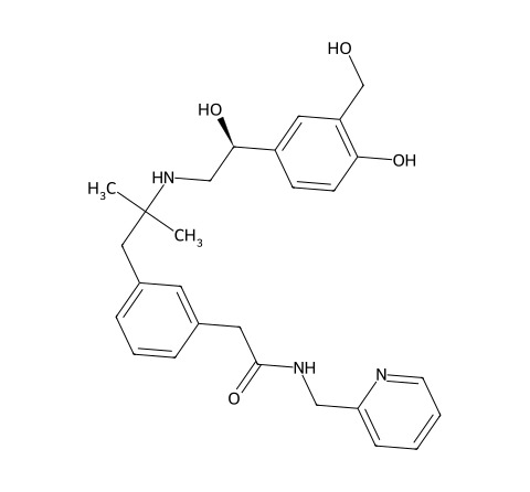 CC(C)(Cc1cccc(CC(=O)NCc2ccccn2)c1)NC[C@@H](O)c1ccc(O)c(CO)c1